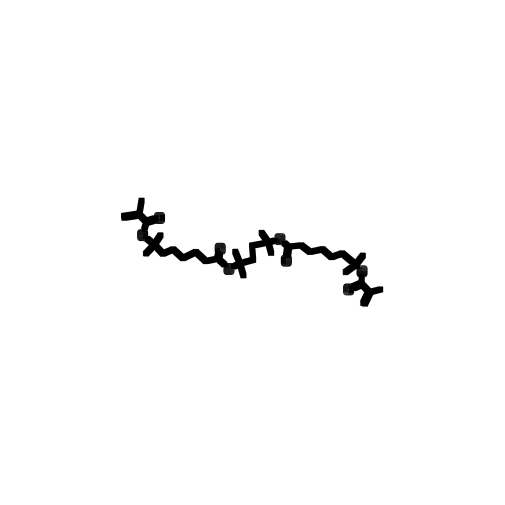 C=C(C)C(=O)OC(C)(C)CCCCCC(=O)OC(C)(C)CCC(C)(C)OC(=O)CCCCCC(C)(C)OC(=O)C(=C)C